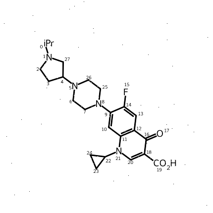 CC(C)N1CCC(N2CCN(c3cc4c(cc3F)c(=O)c(C(=O)O)cn4C3CC3)CC2)C1